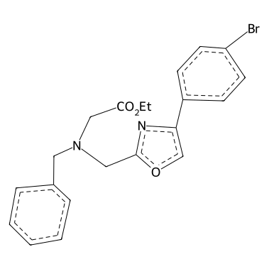 CCOC(=O)CN(Cc1ccccc1)Cc1nc(-c2ccc(Br)cc2)co1